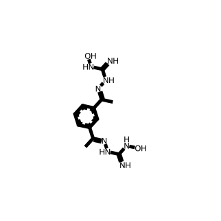 CC(=NNC(=N)NO)c1cccc(C(C)=NNC(=N)NO)c1